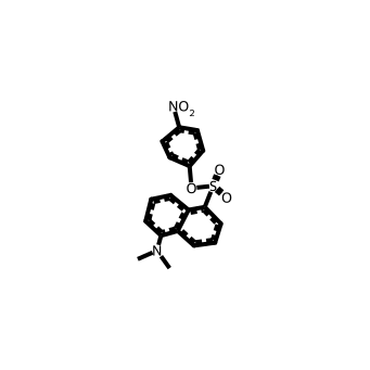 CN(C)c1cccc2c(S(=O)(=O)Oc3ccc([N+](=O)[O-])cc3)cccc12